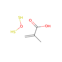 C=C(C)C(=O)O.SOS